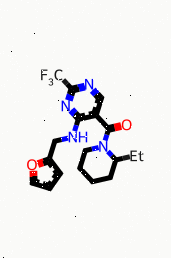 CCC1CCCCN1C(=O)c1cnc(C(F)(F)F)nc1NCc1ccco1